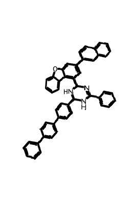 c1ccc(C2=NC(c3cc(-c4ccc5ccccc5c4)cc4oc5ccccc5c34)NC(c3ccc(-c4ccc(-c5ccccc5)cc4)cc3)N2)cc1